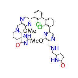 COc1nc(-c2cccc(-c3cccc(-c4cnc(CN5CCCC6(C5)NC(C)=NC6=O)c(OC)n4)c3Cl)c2Cl)cnc1CNCC1CCC(=O)N1